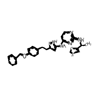 CC(Nc1nccc(Nc2cc(CCc3ccc(OCc4ccccc4)cc3)n[nH]2)n1)c1cnco1